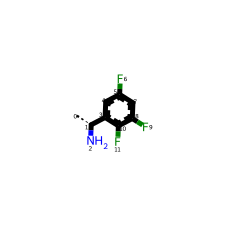 C[C@@H](N)c1cc(F)cc(F)c1F